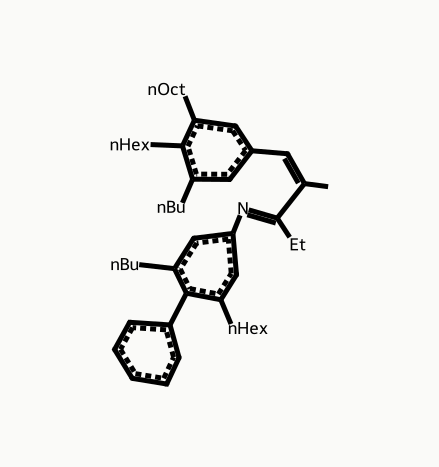 CCCCCCCCc1cc(C=C(C)C(CC)=Nc2cc(CCCC)c(-c3ccccc3)c(CCCCCC)c2)cc(CCCC)c1CCCCCC